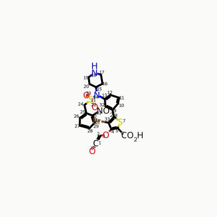 O=C=COc1c(C(=O)O)sc(-c2cccc(N(C3CCNCC3)S(=O)(=O)Cc3ccccc3[N+](=O)[O-])c2)c1Br